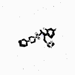 C/C(=C(/Cn1cncn1)c1ccc(F)cc1F)S(=O)(=O)N1CCN(c2ccccc2)CC1